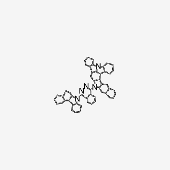 c1ccc2cc3c(cc2c1)c1c2c4ccccc4n4c5ccccc5c(cc1n3-c1nnc(-n3c5ccccc5c5c6ccccc6ccc53)c3ccccc13)c24